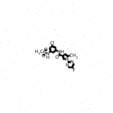 Cc1cc(C(=O)Nc2cc(Cl)cc(NS(C)(=O)=O)c2)cn1-c1ncc(F)cn1